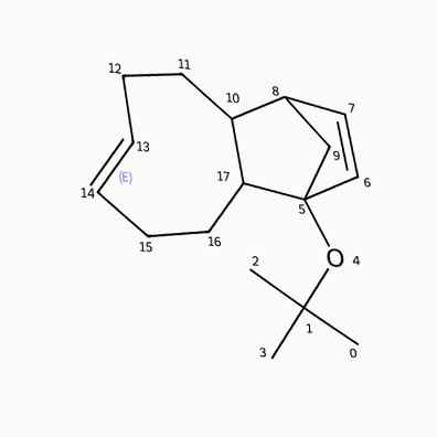 CC(C)(C)OC12C=CC(C1)C1CC/C=C/CCC12